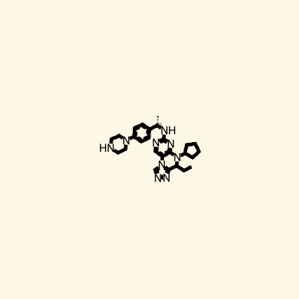 CCC1c2nncn2-c2cnc(N[C@@H](C)c3ccc(N4CCNCC4)cc3)nc2N1C1CCCC1